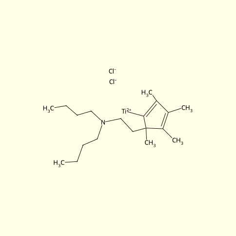 CCCCN(CCCC)CCC1(C)C(C)=C(C)C(C)=[C]1[Ti+2].[Cl-].[Cl-]